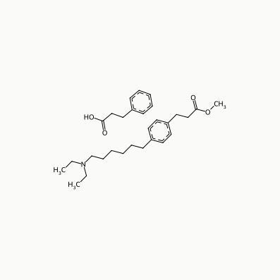 CCN(CC)CCCCCCc1ccc(CCC(=O)OC)cc1.O=C(O)CCc1ccccc1